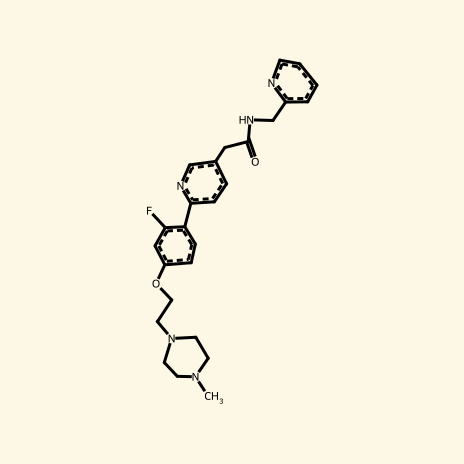 CN1CCN(CCOc2ccc(-c3ccc(CC(=O)NCc4ccccn4)cn3)c(F)c2)CC1